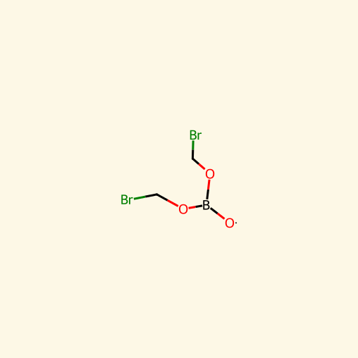 [O]B(OCBr)OCBr